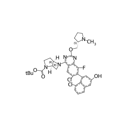 CN1CCC[C@H]1COc1nc(N2C[C@@H]3[C@H]2CCN3C(=O)OC(C)(C)C)c2cc(Cl)c(-c3cc(O)cc4cccc(Cl)c34)c(F)c2n1